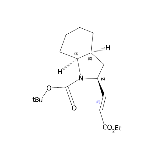 CCOC(=O)/C=C/[C@@H]1C[C@@H]2CCCC[C@@H]2N1C(=O)OC(C)(C)C